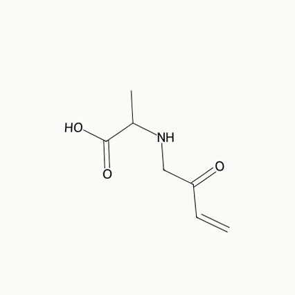 C=CC(=O)CNC(C)C(=O)O